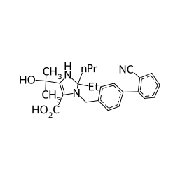 CCCC1(CC)NC(C(C)(C)O)=C(C(=O)O)N1Cc1ccc(-c2ccccc2C#N)cc1